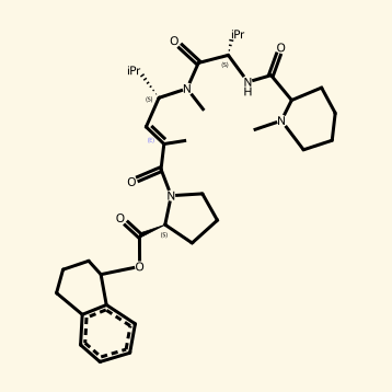 C/C(=C\[C@H](C(C)C)N(C)C(=O)[C@@H](NC(=O)C1CCCCN1C)C(C)C)C(=O)N1CCC[C@H]1C(=O)OC1CCCc2ccccc21